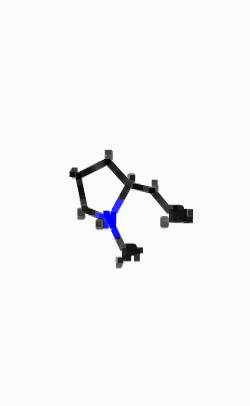 CCC(C)CC1CCCN1C(C)C